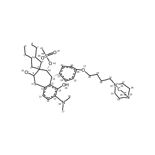 CCCCC1(CCCC)C([O-])Sc2ccc(N(C)C)c(O)c2[C@@H](c2ccc(OCCCC[N+]34CCN(CC3)CC4)cc2)[C@H]1OS(C)(=O)=O